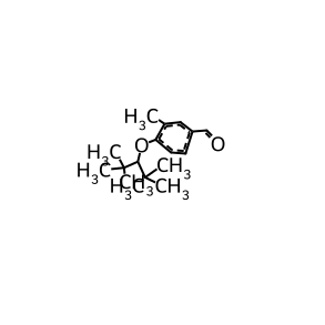 Cc1cc(C=O)ccc1OC(C(C)(C)C)C(C)(C)C